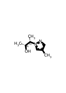 Cc1cnn([C@@H](C)[C@@H](C)O)c1